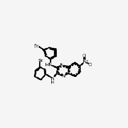 O=[N+]([O-])c1ccc2nc(NC3=CC(Br)=CCC3)c(NC3=C=C=CC(Br)=C3)nc2c1